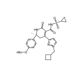 CCCCOc1ccc([C@]2(C)CC(c3ccn(CC4CCC4)n3)=C(C(=O)NS(=O)(=O)C3CC3)C(=O)N2)cc1